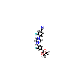 CC1(C)OB(c2ccc(CN3CCN(c4ccc(C#N)cc4F)CC3)c(F)c2)OC1(C)C